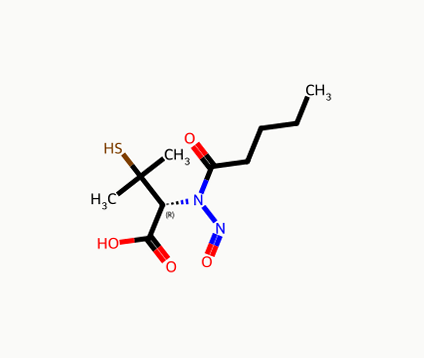 CCCCC(=O)N(N=O)[C@H](C(=O)O)C(C)(C)S